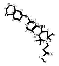 COC(=O)CCN1C(C)(C)CC(Nc2nc(Nc3ccc4c(c3)OCCO4)ncc2F)CC1(C)C